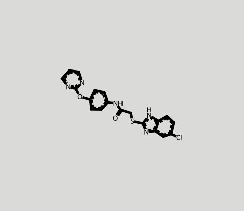 O=C(CSc1nc2cc(Cl)ccc2[nH]1)Nc1ccc(Oc2ncccn2)cc1